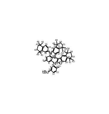 Cc1cc2c3c(c1)N(c1cc(C(C)(C)C)ccc1C)c1oc4cc5c(cc4c1B3c1cc3c(cc1N2c1ccc2c(c1)C(C)(C)CCC2(C)C)C(C)(C)CCC3(C)C)C(C)(C)CCC5(C)C